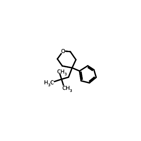 CC(C)(C)CC1(c2ccccc2)CCOCC1